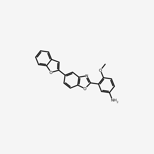 COc1ccc(N)cc1-c1nc2cc(-c3cc4ccccc4o3)ccc2o1